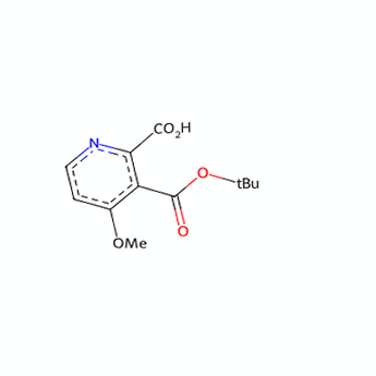 COc1ccnc(C(=O)O)c1C(=O)OC(C)(C)C